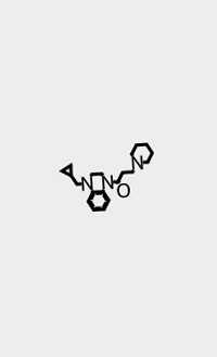 O=C(CCN1CCCCC1)N1CCN(CC2CC2)c2ccccc21